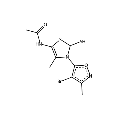 CC(=O)NC1=C(C)N(c2onc(C)c2Br)C(S)S1